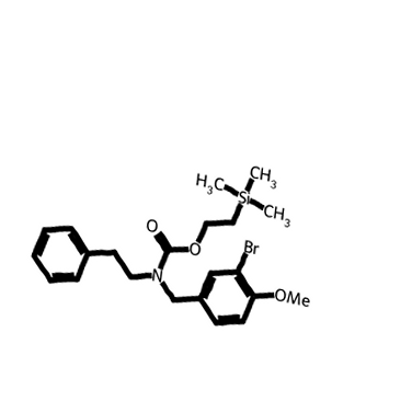 COc1ccc(CN(CCc2ccccc2)C(=O)OCC[Si](C)(C)C)cc1Br